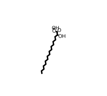 CCCCCCCCCCCCCCCCC(O)C(=O)OO